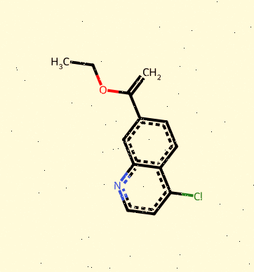 C=C(OCC)c1ccc2c(Cl)ccnc2c1